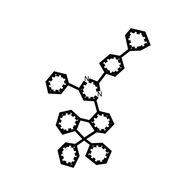 c1ccc(-c2ccc(-c3nc(-c4ccccc4)cc(-c4cccc5c4-c4ccccc4C5(c4ccccc4)c4ccccc4)n3)cc2)cc1